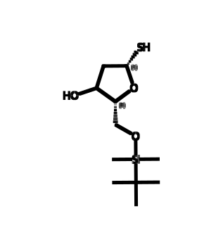 CC(C)(C)[Si](C)(C)OC[C@H]1O[C@@H](S)CC1O